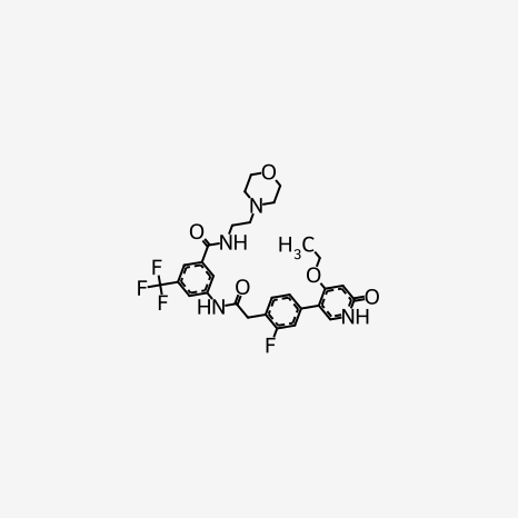 CCOc1cc(=O)[nH]cc1-c1ccc(CC(=O)Nc2cc(C(=O)NCCN3CCOCC3)cc(C(F)(F)F)c2)c(F)c1